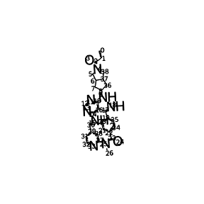 C=CC(=O)N1CC2CC(Nc3ncnc(N)c3C(=N)c3ccc(C(=O)N(C)c4cc(C)ccn4)cc3)CC2C1